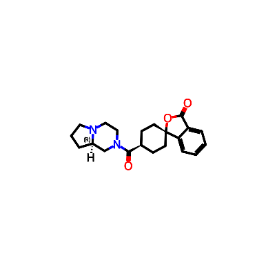 O=C1O[C@]2(CC[C@H](C(=O)N3CCN4CCC[C@@H]4C3)CC2)c2ccccc21